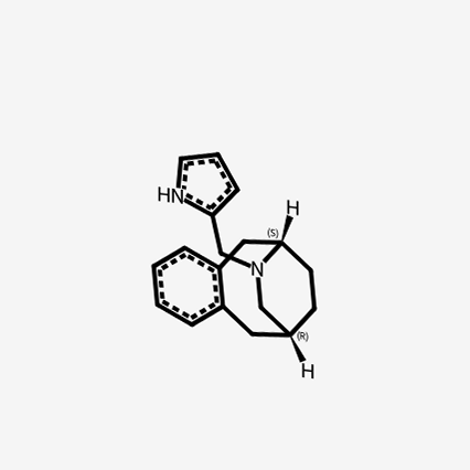 c1c[nH]c(CN2C[C@@H]3CC[C@H]2Cc2ccccc2C3)c1